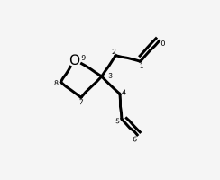 C=CCC1(CC=C)CCO1